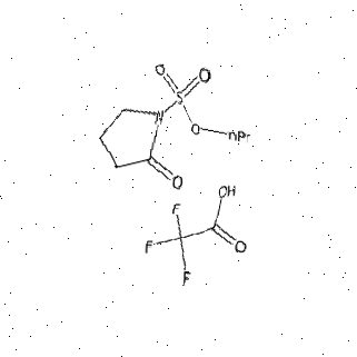 CCCOS(=O)(=O)N1CCCC1=O.O=C(O)C(F)(F)F